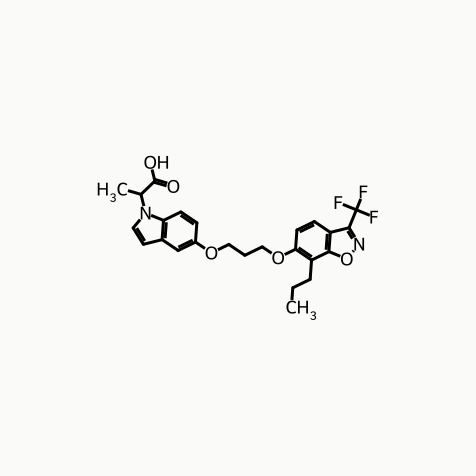 CCCc1c(OCCCOc2ccc3c(ccn3C(C)C(=O)O)c2)ccc2c(C(F)(F)F)noc12